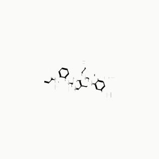 C=CC(=O)Nc1ccccc1Nc1ncc2c(n1)N(CCF)C(=O)N(c1cc(O)cc(O)c1Cl)C2